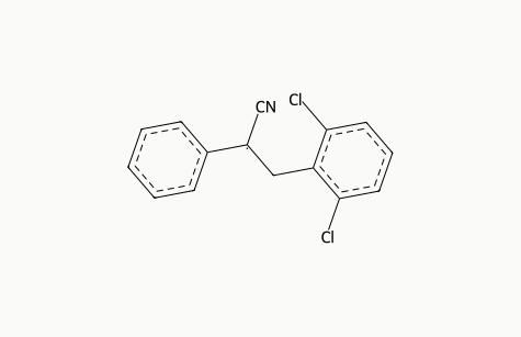 N#C[C](Cc1c(Cl)cccc1Cl)c1ccccc1